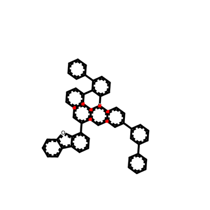 c1ccc(-c2cccc(-c3ccc(N(c4cccc(-c5cccc6c5oc5ccccc56)c4)c4cccc(-c5ccccc5)c4-c4ccccc4-c4ccccc4)cc3)c2)cc1